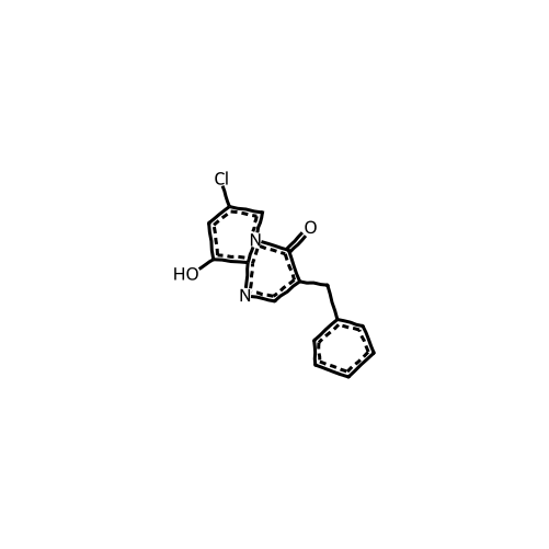 O=c1c(Cc2ccccc2)cnc2c(O)cc(Cl)cn12